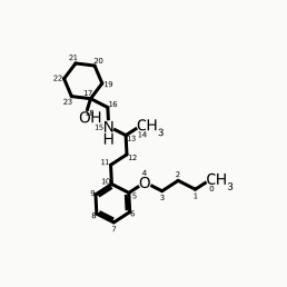 CCCCOc1ccccc1CCC(C)NCC1(O)CCCCC1